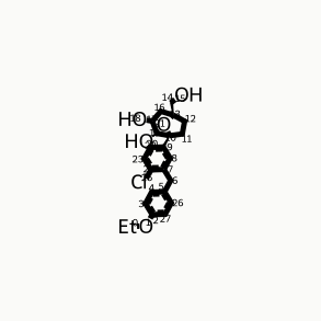 CCOc1ccc(Cc2cc([C@@]34CC[C@@](CO)(CC(O)[C@H]3O)O4)ccc2Cl)cc1